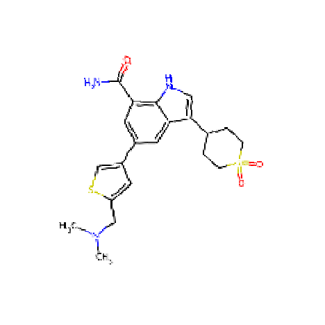 CN(C)Cc1cc(-c2cc(C(N)=O)c3[nH]cc(C4CCS(=O)(=O)CC4)c3c2)cs1